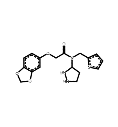 O=C(COc1ccc2c(c1)OCO2)N(Cc1cccs1)C1CCNN1